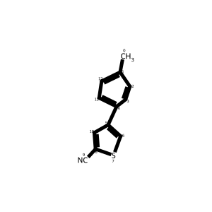 Cc1ccc(-c2[c]sc(C#N)c2)cc1